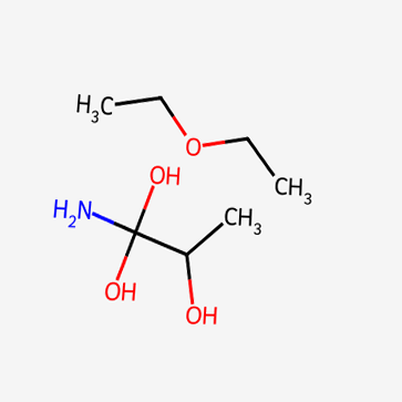 CC(O)C(N)(O)O.CCOCC